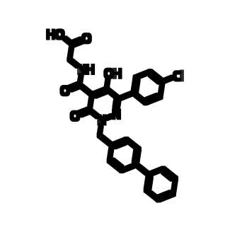 O=C(O)CNC(=O)c1c(O)c(-c2ccc(Cl)cc2)nn(Cc2ccc(-c3ccccc3)cc2)c1=O